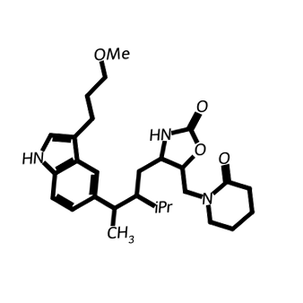 COCCCc1c[nH]c2ccc(C(C)C(CC3NC(=O)OC3CN3CCCCC3=O)C(C)C)cc12